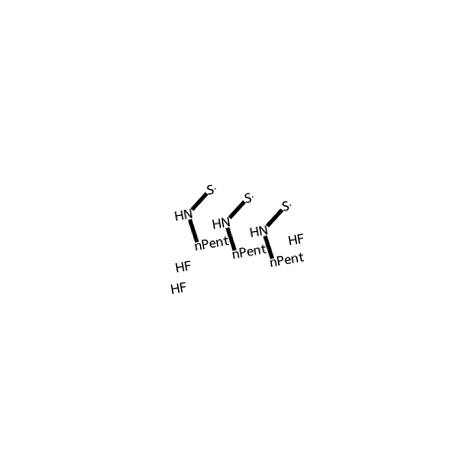 CCCCCN[S].CCCCCN[S].CCCCCN[S].F.F.F